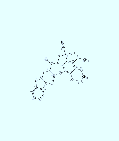 COc1ccc(C(C)(C#N)CCC(O)C(CC2Oc3ccccc3O2)[N+](=O)[O-])c(OC)c1OC